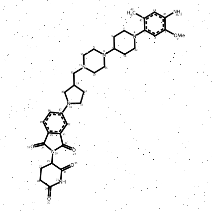 COc1cc(N2CCC(N3CCN(CC4CCN(c5ccc6c(c5)C(=O)N(C5CCC(=O)NC5=O)C6=O)C4)CC3)CC2)c(C)cc1N